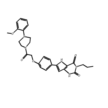 CCCn1c(=O)[nH]c2cc(-c3ccc(OCC(=O)N4CCN(c5ccccc5OC)CC4)cc3)[nH]c2c1=O